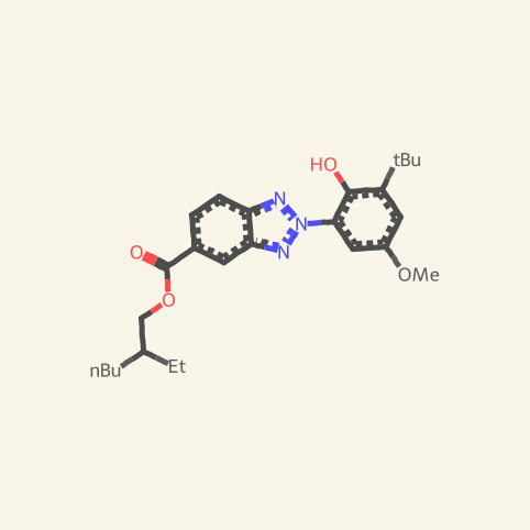 CCCCC(CC)COC(=O)c1ccc2nn(-c3cc(OC)cc(C(C)(C)C)c3O)nc2c1